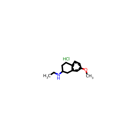 CCNC1CCc2ccc(OC)cc2C1.Cl